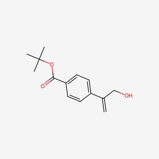 C=C(CO)c1ccc(C(=O)OC(C)(C)C)cc1